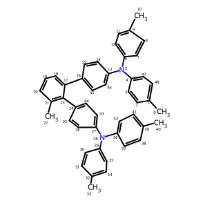 Cc1ccc(N(c2ccc(C)cc2)c2ccc(-c3cccc(C)c3-c3ccc(N(c4ccc(C)cc4)c4ccc(C)cc4)cc3)cc2)cc1